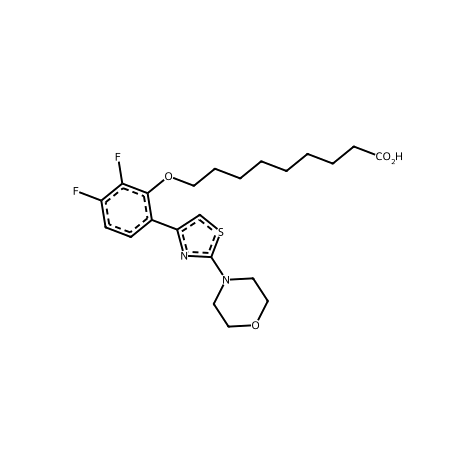 O=C(O)CCCCCCCCOc1c(-c2csc(N3CCOCC3)n2)ccc(F)c1F